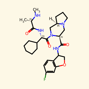 CN[C@@H](C)C(=O)N[C@H](C(=O)N1C[C@H]2CCCN2C[C@H]1C(=O)NC1COc2cc(F)ccc21)C1CCCCC1